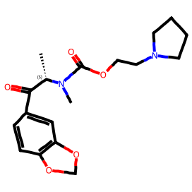 C[C@@H](C(=O)c1ccc2c(c1)OCO2)N(C)C(=O)OCCN1CCCC1